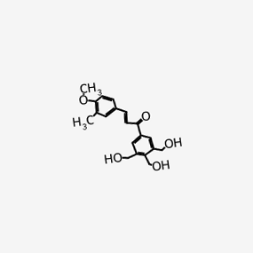 COc1ccc(/C=C/C(=O)c2cc(CO)c(CO)c(CO)c2)cc1C